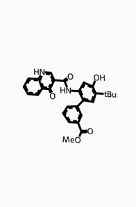 COC(=O)c1cccc(-c2cc(C(C)(C)C)c(O)cc2NC(=O)c2c[nH]c3ccccc3c2=O)c1